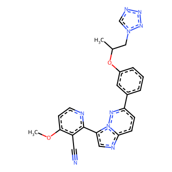 COc1ccnc(-c2cnc3ccc(-c4cccc(OC(C)Cn5cnnn5)c4)nn23)c1C#N